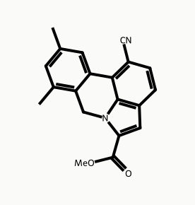 COC(=O)c1cc2ccc(C#N)c3c2n1Cc1c(C)cc(C)cc1-3